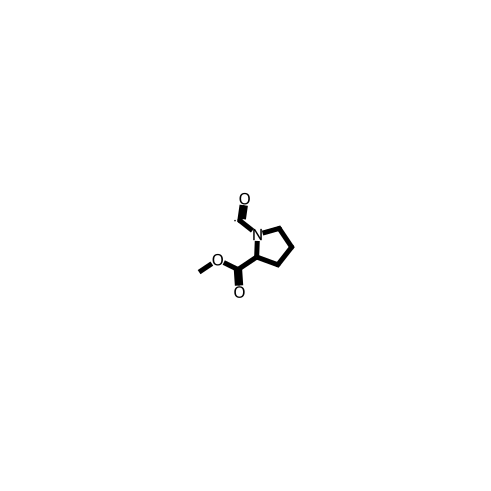 COC(=O)C1CCCN1[C]=O